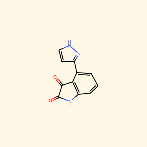 O=C1Nc2cccc(-c3cc[nH]n3)c2C1=O